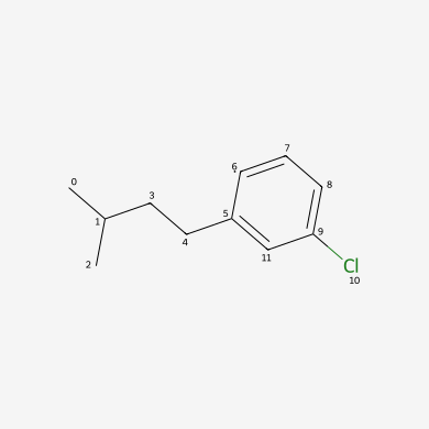 CC(C)CCc1[c]ccc(Cl)c1